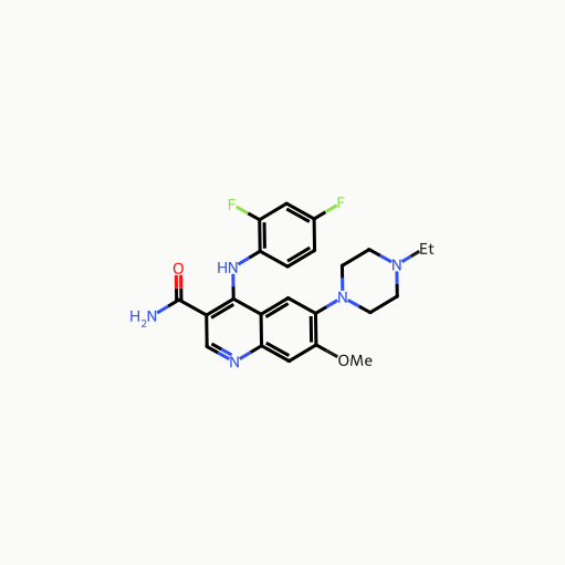 CCN1CCN(c2cc3c(Nc4ccc(F)cc4F)c(C(N)=O)cnc3cc2OC)CC1